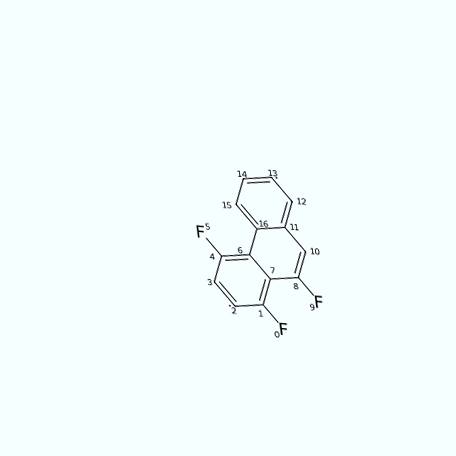 Fc1[c]cc(F)c2c1c(F)cc1c[c]ccc12